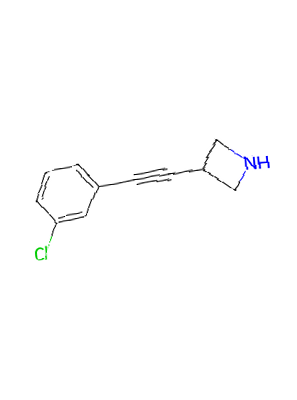 Clc1cccc(C#CC2CNC2)c1